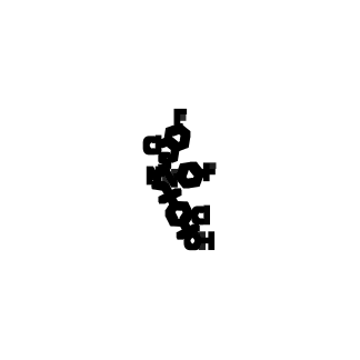 CC(C)(O)c1ccc(C(C)(C)c2cnc(SCc3ccc(F)cc3Cl)n2-c2ccc(F)cc2)cc1Cl